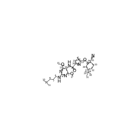 COc1nc(NCCCC(C)C)nc(OC)c1NC(=O)c1csc(Oc2cc(C(C)(C)C)ccc2C#N)n1